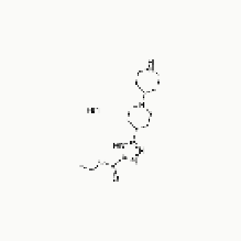 CCOC(=O)c1nnc(C2CCN(C3CCNCC3)CC2)[nH]1.Cl